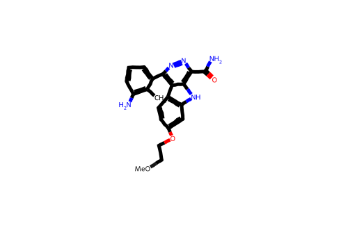 COCCOc1ccc2c(c1)[nH]c1c(C(N)=O)nnc(-c3cccc(N)c3C)c12